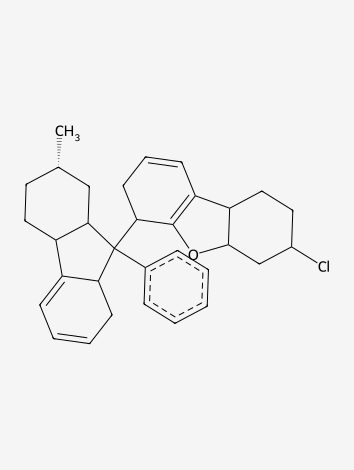 C[C@H]1CCC2C3=CC=CCC3C(c3ccccc3)(C3CC=CC4=C3OC3CC(Cl)CCC43)C2C1